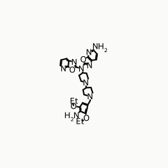 CCOc1cc(CN2CCC(N3CCC(N(c4nc5cccnc5o4)c4nc5ccc(N)nc5o4)CC3)CC2)cc(OCC)c1N